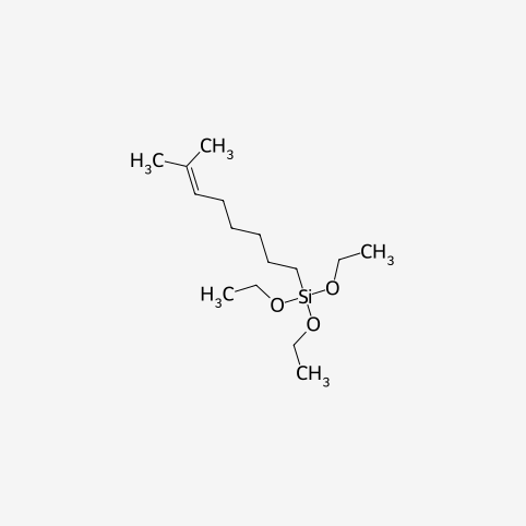 CCO[Si](CCCCCC=C(C)C)(OCC)OCC